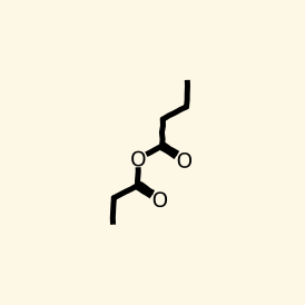 CCCC(=O)OC(=O)CC